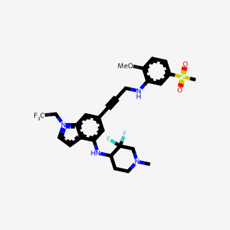 COc1ccc(S(C)(=O)=O)cc1NCC#Cc1cc(NC2CCN(C)CC2(F)F)c2ccn(CC(F)(F)F)c2c1